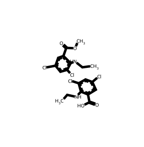 CCNc1c(Cl)cc(Cl)cc1C(=O)O.CCNc1c(Cl)cc(Cl)cc1C(=O)OC